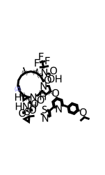 CC(C)Oc1ccc(-c2cc(O[C@@H]3C[C@H]4C(=O)N[C@]5(C(=O)NS(=O)(=O)C6(C)CC6)C[C@H]5/C=C\CC[C@@H](C)C[C@@H](C)[C@H](N(C(=O)O)C(C)(C)C(F)(F)F)C(=O)N4C3)cc(-c3cncs3)n2)cc1